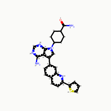 NC(=O)C1CCC(n2cc(-c3ccc4ccc(-c5cccs5)nc4c3)c3c(N)ncnc32)CC1